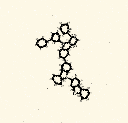 c1ccc(-c2cccc(-n3c4ccc(-c5ccc6c(c5)c5ccccc5n6-c5ccc6c(c5)oc5ccccc56)cc4c4cccc(-c5ccccc5)c43)c2)cc1